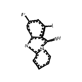 N=c1c2c(I)cc(F)cc2nc2ccccn12